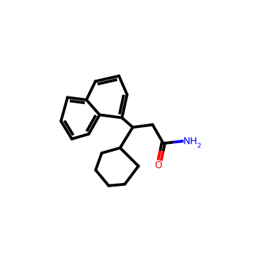 NC(=O)CC(c1cccc2ccccc12)C1CCCCC1